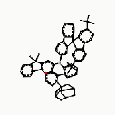 CC(C)(C)c1ccc2c(c1)C1(c3ccccc3-c3ccc(N(c4ccc5c(c4)C(C)(C)c4ccccc4-5)c4ccccc4-c4ccccc4C45CC6CC(CC(C6)C4)C5)cc31)c1cc(C(C)(C)C)ccc1-2